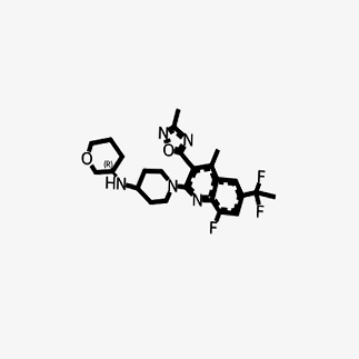 Cc1noc(-c2c(N3CCC(N[C@@H]4CCCOC4)CC3)nc3c(F)cc(C(C)(F)F)cc3c2C)n1